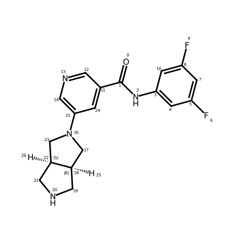 O=C(Nc1cc(F)cc(F)c1)c1cncc(N2C[C@H]3CNC[C@H]3C2)c1